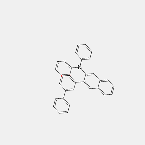 c1ccc(-c2cccc(-c3cc4ccccc4cc3N(c3ccccc3)c3ccccc3)c2)cc1